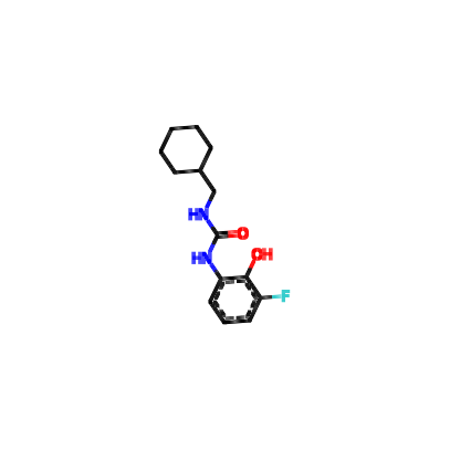 O=C(NCC1CCCCC1)Nc1cccc(F)c1O